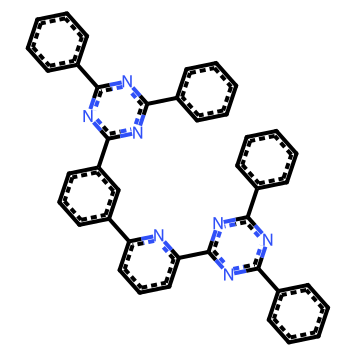 c1ccc(-c2nc(-c3ccccc3)nc(-c3cccc(-c4cccc(-c5nc(-c6ccccc6)nc(-c6ccccc6)n5)n4)c3)n2)cc1